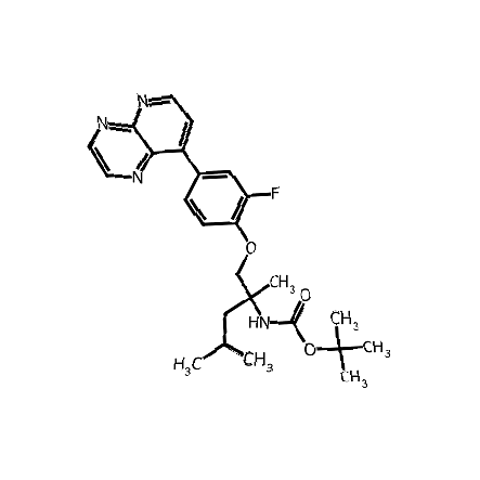 CC(C)CC(C)(COc1ccc(-c2ccnc3nccnc23)cc1F)NC(=O)OC(C)(C)C